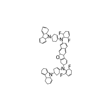 FC1=C(N(C2=CCC(N3C4=CCCC=C4C4CCC=CC43)CC2)C2C=CC3=C(C2)OC2C=c4cc(N(C5=CCC(N6C7CC=CC=C7C7C=CC=CC76)CC5)C5C(F)C=CCC5F)ccc4=CC32)C(F)CC=C1